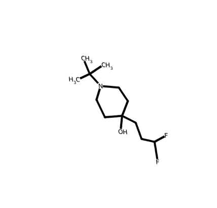 CC(C)(C)N1CCC(O)(CCC(F)F)CC1